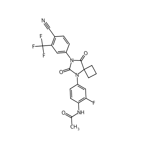 CC(=O)Nc1ccc(N2C(=O)N(c3ccc(C#N)c(C(F)(F)F)c3)C(=O)C23CCC3)cc1F